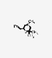 CC(C)C[C@H]1CN(C)CC(C)(C)O1